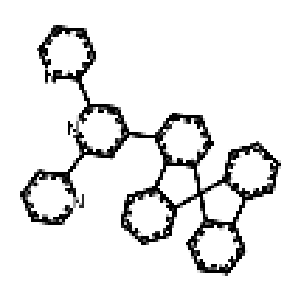 c1ccc(-c2cc(-c3cccc4c3-c3ccccc3C43c4ccccc4-c4ccccc43)cc(-c3ccccn3)n2)nc1